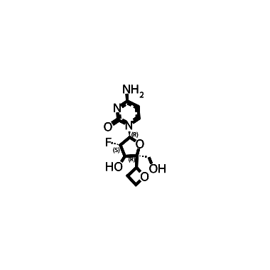 Nc1ccn([C@@H]2O[C@@](CO)(C3CCO3)C(O)[C@@H]2F)c(=O)n1